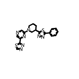 c1ccc(-c2nnc(C3CCCN(c4cncc(-c5nncs5)n4)C3)s2)cc1